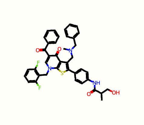 CC(CO)C(=O)Nc1ccc(-c2sc3c(c2CN(C)Cc2ccccc2)c(=O)c(C(=O)c2ccccc2)cn3Cc2c(F)cccc2F)cc1